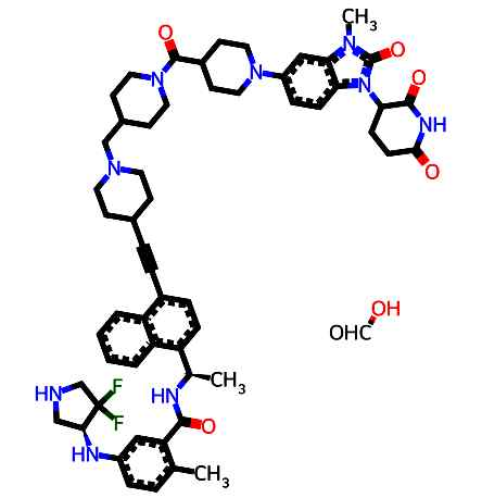 Cc1ccc(N[C@H]2CNCC2(F)F)cc1C(=O)N[C@H](C)c1ccc(C#CC2CCN(CC3CCN(C(=O)C4CCN(c5ccc6c(c5)n(C)c(=O)n6C5CCC(=O)NC5=O)CC4)CC3)CC2)c2ccccc12.O=CO